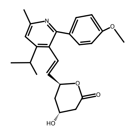 COc1ccc(-c2nc(C)cc(C(C)C)c2/C=C/[C@@H]2C[C@@H](O)CC(=O)O2)cc1